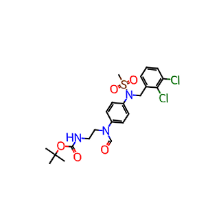 CC(C)(C)OC(=O)NCCN(C=O)c1ccc(N(Cc2cccc(Cl)c2Cl)S(C)(=O)=O)cc1